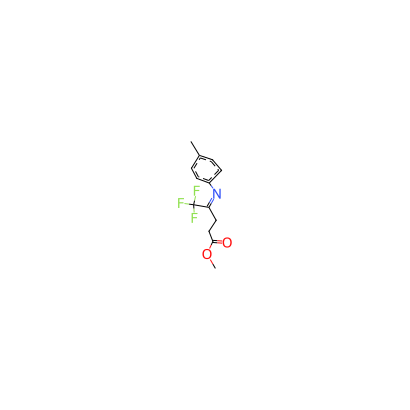 COC(=O)CCC(=Nc1ccc(C)cc1)C(F)(F)F